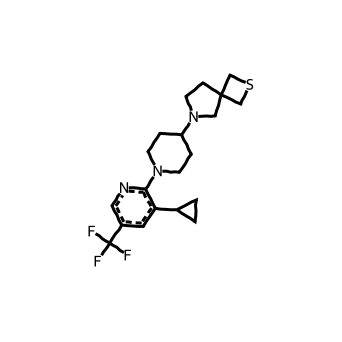 FC(F)(F)c1cnc(N2CCC(N3CCC4(CSC4)C3)CC2)c(C2CC2)c1